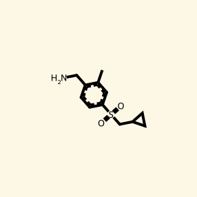 Cc1cc(S(=O)(=O)CC2CC2)ccc1CN